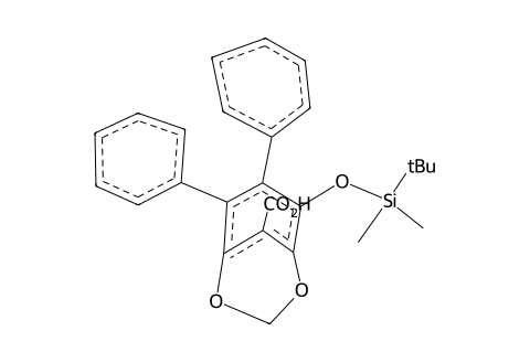 CC(C)(C)[Si](C)(C)Oc1c2c(C(=O)O)c(c(-c3ccccc3)c1-c1ccccc1)OCO2